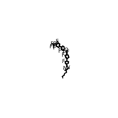 CCCCCc1cnc(-c2ccc(-c3ccc(C(F)(F)Oc4ccc(-c5cc(F)c(OC(F)(F)F)c(F)c5)c(F)c4)c(F)c3)c(F)c2)nc1